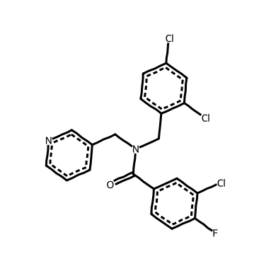 O=C(c1ccc(F)c(Cl)c1)N(Cc1cccnc1)Cc1ccc(Cl)cc1Cl